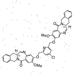 COc1cc2c(cc1OCc1cc(Cl)cc(COc3cc4c(cc3OC)C(=O)N3Cc5ccccc5C[C@H]3C=N4)n1)N=C[C@@H]1Cc3ccccc3CN1C2=O